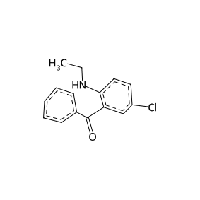 CCNc1ccc(Cl)cc1C(=O)c1ccccc1